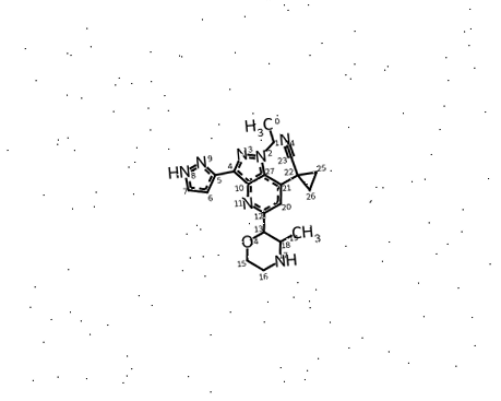 CCn1nc(-c2cc[nH]n2)c2nc(C3OCCNC3C)cc(C3(C#N)CC3)c21